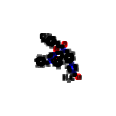 CCc1ccc(C=CC(=O)N(Cc2ccc(N3CCN(C(C)=O)CC3)cc2)[C@@H](Cc2ccccc2)C(=O)N2CCN(Cc3ccccc3)CC2)cc1